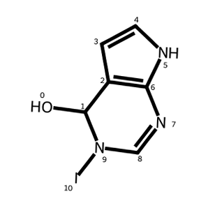 OC1c2cc[nH]c2N=CN1I